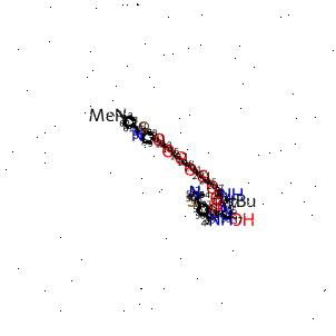 CNc1ccc(-c2nc3ccc(OCCOCCOCCOCCOCCOCC(=O)N[C@H](C(=O)N4C[C@H](O)C[C@H]4C(=O)N[C@@H](C)c4ccc(-c5scnc5C)cc4)C(C)(C)C)cc3s2)cc1